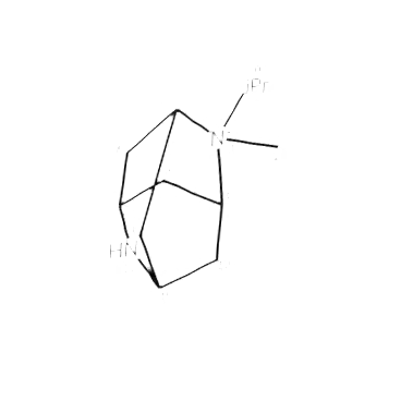 CC(C)[N+]1(C)C2CC3CC1CC(C2)N3